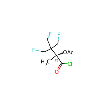 CC(=O)O[C@](C)(C(=O)Cl)C(CF)(CF)CF